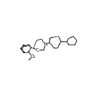 COc1ccccc1C1CCN(C2CCC(C3CCCCC3)CC2)CC1